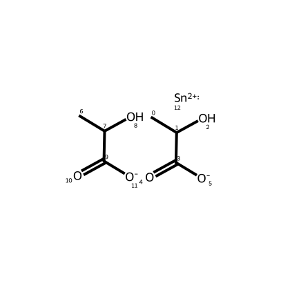 CC(O)C(=O)[O-].CC(O)C(=O)[O-].[Sn+2]